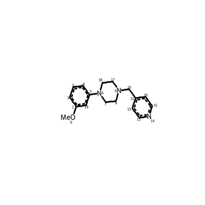 COc1cccc(N2CCN(Cc3ccncc3)CC2)c1